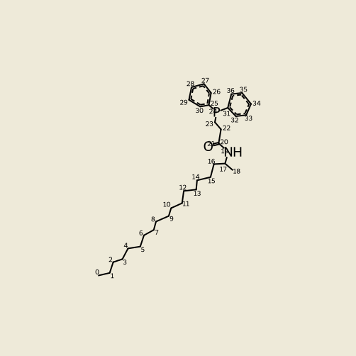 CCCCCCCCCCCCCCCCCC(C)NC(=O)CCP(c1ccccc1)c1ccccc1